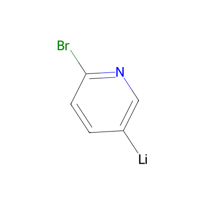 [Li][c]1ccc(Br)nc1